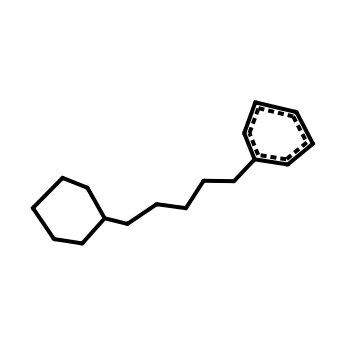 c1ccc(CCCCCC2CCCCC2)cc1